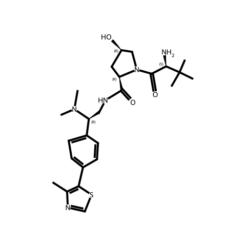 Cc1ncsc1-c1ccc([C@H](CNC(=O)[C@H]2C[C@@H](O)CN2C(=O)[C@@H](N)C(C)(C)C)N(C)C)cc1